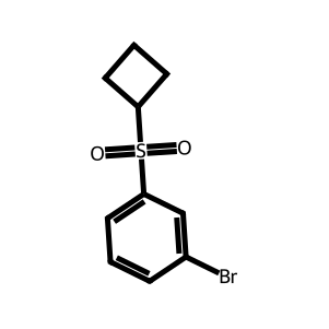 O=S(=O)(c1cccc(Br)c1)C1CCC1